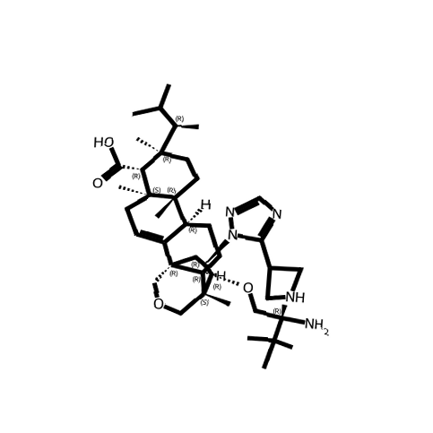 CC(C)[C@@H](C)[C@@]1(C)CC[C@]2(C)[C@H]3CC[C@@H]4[C@@]5(COC[C@@]4(C)[C@@H](OC[C@](C)(N)C(C)(C)C)[C@H](n4ncnc4C4CNC4)C5)C3=CC[C@@]2(C)[C@@H]1C(=O)O